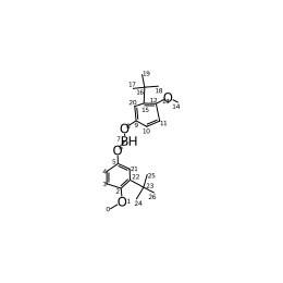 COc1ccc(OBOc2ccc(OC)c(C(C)(C)C)c2)cc1C(C)(C)C